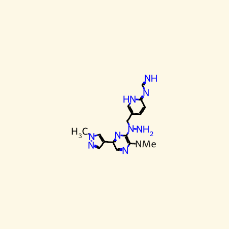 CNc1ncc(-c2cnn(C)c2)nc1N(N)Cc1cc/c(=N/C=N)[nH]c1